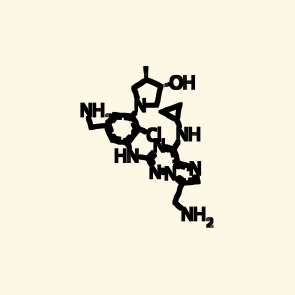 C[C@@H]1CN(c2cc(CN)cc(Nc3nc(NC4CC4)c4ncc(CN)n4n3)c2Cl)C[C@H]1O